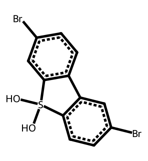 OS1(O)c2ccc(Br)cc2-c2ccc(Br)cc21